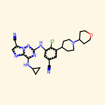 N#Cc1cc(Nc2nc(NC3CC3)c3ncc(C#N)n3n2)c(Cl)c(C2CCN(C3CCOCC3)CC2)c1